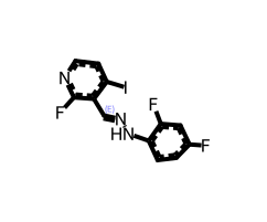 Fc1ccc(N/N=C/c2c(I)ccnc2F)c(F)c1